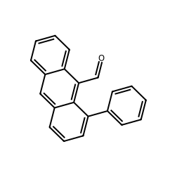 O=Cc1c2ccccc2cc2cccc(-c3ccccc3)c12